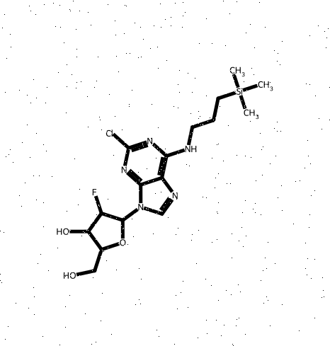 C[Si](C)(C)CCCNc1nc(Cl)nc2c1ncn2C1OC(CO)C(O)C1F